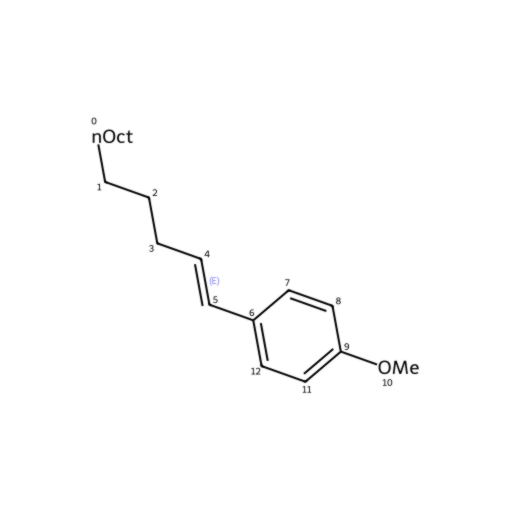 CCCCCCCCCCC/C=C/c1ccc(OC)cc1